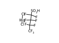 O=S(=O)(O)C(F)(F)C(F)(F)C(F)(F)C(F)(F)F.[Cl][Mg][Cl]